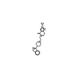 C=C1c2cn(C3CC3)nc2CCN1CCN1CCC(C2=NCc3ccccc32)CC1